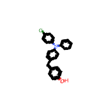 Oc1ccc(Cc2ccc(N(c3ccccc3)c3ccc(Cl)cc3)cc2)cc1